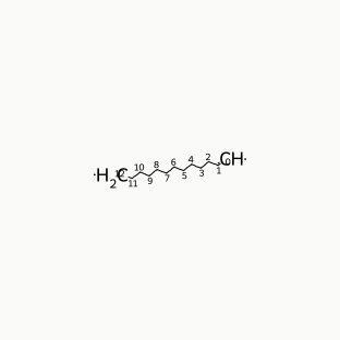 [CH]=CCCCCCCCCCC[CH2]